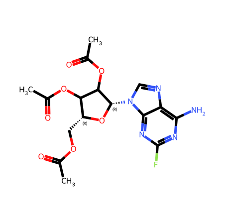 CC(=O)OC[C@H]1O[C@@H](n2cnc3c(N)nc(F)nc32)C(OC(C)=O)C1OC(C)=O